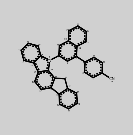 N#Cc1ccc(-c2cc(-n3c4ccccc4c4ccc5c(c43)Cc3ccccc3-5)cc3ccccc23)cc1